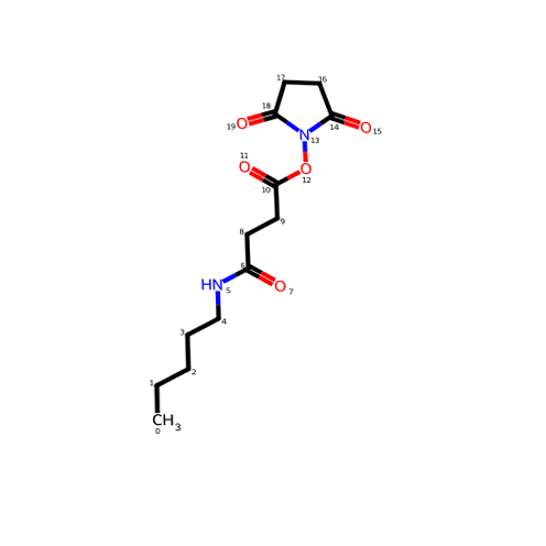 CCCCCNC(=O)CCC(=O)ON1C(=O)CCC1=O